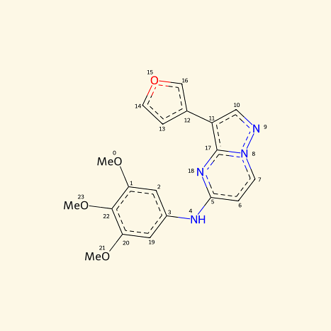 COc1cc(Nc2ccn3ncc(-c4ccoc4)c3n2)cc(OC)c1OC